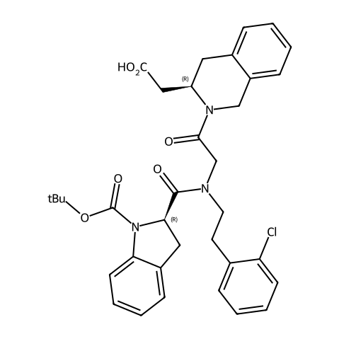 CC(C)(C)OC(=O)N1c2ccccc2C[C@@H]1C(=O)N(CCc1ccccc1Cl)CC(=O)N1Cc2ccccc2C[C@@H]1CC(=O)O